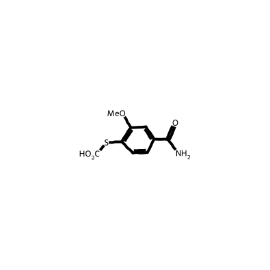 COc1cc(C(N)=O)ccc1SC(=O)O